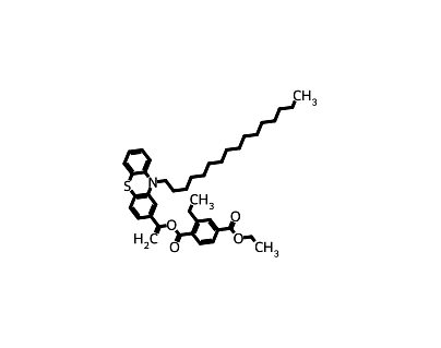 C=C(OC(=O)c1ccc(C(=O)OCC)cc1CC)c1ccc2c(c1)N(CCCCCCCCCCCCCCCC)c1ccccc1S2